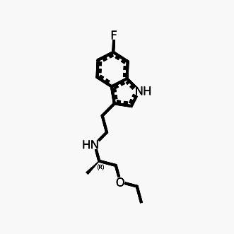 CCOC[C@@H](C)NCCc1c[nH]c2cc(F)ccc12